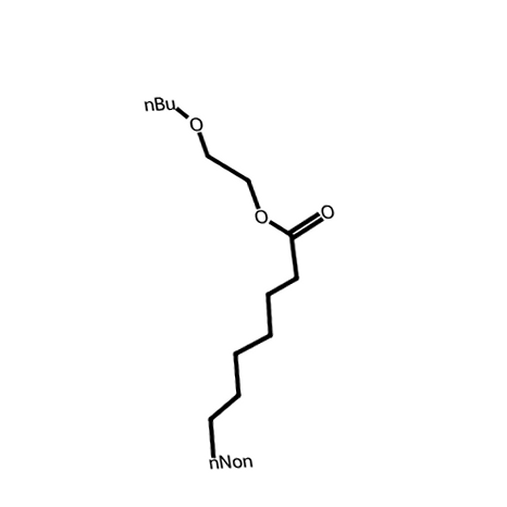 CCCCCCCCCCCCCCCC(=O)OCCOCCCC